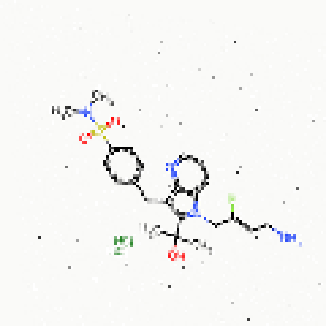 CN(C)S(=O)(=O)c1ccc(Cc2c(C(C)(C)O)n(C/C(F)=C/CN)c3cccnc23)cc1.Cl.Cl